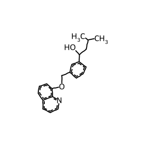 CC(C)CC(O)c1cccc(COc2cccc3cccnc23)c1